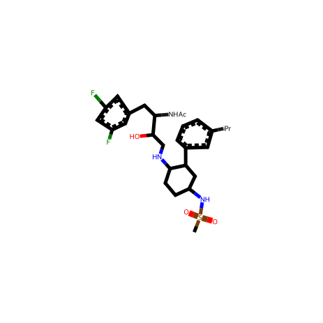 CC(=O)NC(Cc1cc(F)cc(F)c1)C(O)CNC1CCC(NS(C)(=O)=O)CC1c1cccc(C(C)C)c1